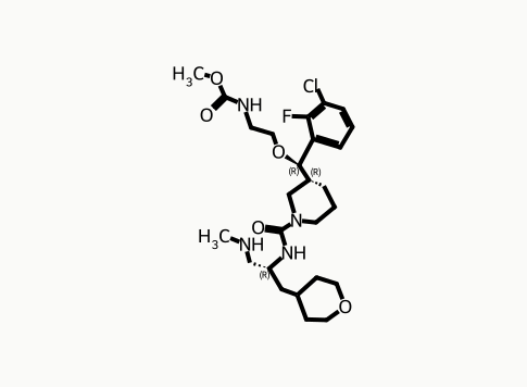 CNC[C@@H](CC1CCOCC1)NC(=O)N1CCC[C@@H]([C@@H](OCCNC(=O)OC)c2cccc(Cl)c2F)C1